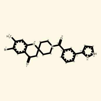 Cc1cc2c(cc1Br)C(=O)CC1(CCN(C(=O)c3cccc(-c4cc[nH]n4)c3)CC1)O2